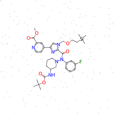 COC(=O)c1cc(-c2cn(COCC[Si](C)(C)C)c(C(=O)N(c3cccc(F)c3)N3CCCC(NC(=O)OC(C)(C)C)C3)n2)ccn1